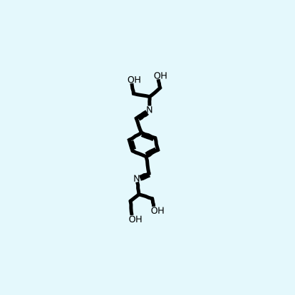 OCC(CO)N=Cc1ccc(C=NC(CO)CO)cc1